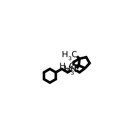 CC12CCC(CN(CCC3CCCCC3)C1)C2(C)C